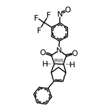 O=Nc1ccc(N2C(=O)[C@@H]3C4CC(C=C4c4ccccc4)[C@@H]3C2=O)cc1C(F)(F)F